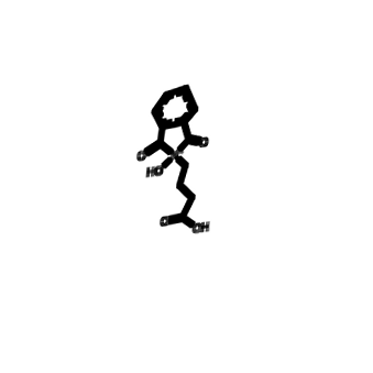 O=C(O)CCC[N+]1(O)C(=O)c2ccccc2C1=O